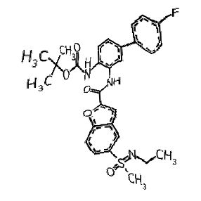 CCN=S(C)(=O)c1ccc2oc(C(=O)Nc3cc(-c4ccc(F)cc4)ccc3NC(=O)OC(C)(C)C)cc2c1